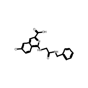 O=C(CNc1nc(C(=O)O)cc2cc(Cl)ccc12)NCc1ccccc1